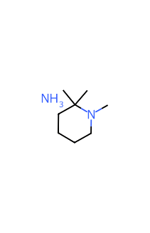 CN1CCCCC1(C)C.N